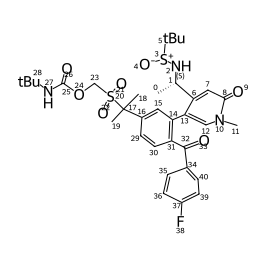 C[C@H](N[S+]([O-])C(C)(C)C)c1cc(=O)n(C)cc1-c1cc(C(C)(C)S(=O)(=O)COC(=O)NC(C)(C)C)ccc1C(=O)c1ccc(F)cc1